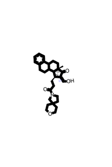 C[C@]12CCC3c4ccccc4CCC3C1[C@H](CCC(=O)N1CCC3(CCOCC3)C1)/C(=C/O)C2=O